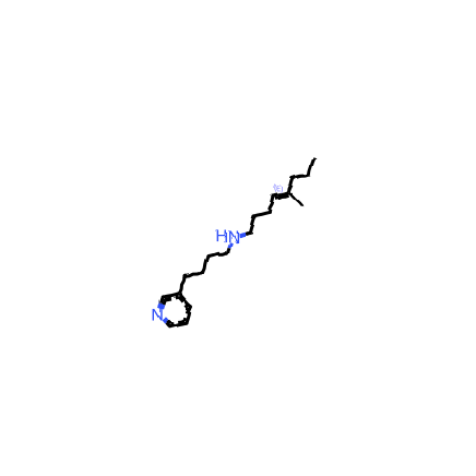 CCC/C(C)=C/CCCNCCCCc1cccnc1